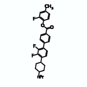 CCCC1CCC(c2ccc(-c3ccc(C(=O)Oc4ccc(C)cc4F)cc3)c(F)c2F)CC1